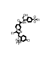 CCc1c(Cc2ccc(Cl)cc2S(F)(F)(F)(F)F)nc2cc(C(=O)N[C@@H](CO)c3ccc(S(=O)(=O)CC)cc3)ccn12